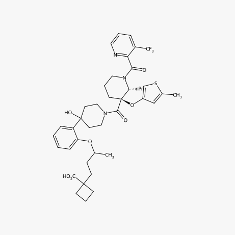 CCC[C@H]1N(C(=O)c2ncccc2C(F)(F)F)CCC[C@@]1(Oc1csc(C)c1)C(=O)N1CCC(O)(c2ccccc2OC(C)CCC2(C(=O)O)CCC2)CC1